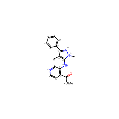 COC(=O)c1ccncc1Nc1c(C)c(-c2ccccc2)nn1C